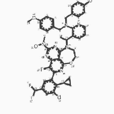 COc1ccc(CN(Cc2ccc(OC)cc2)c2ncccc2C(C)N2CCOc3nc(-c4cc(C(F)F)cc(Cl)c4C4CC4)c(F)c4nc([S+](C)[O-])nc2c34)cc1